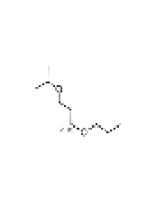 CCCO[C@H](C)CCOC(C)C